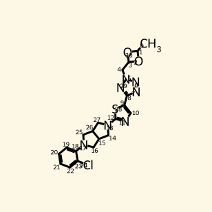 CC1OC(Cn2nnc(-c3cnc(N4CC5CN(c6ccccc6Cl)CC5C4)s3)n2)O1